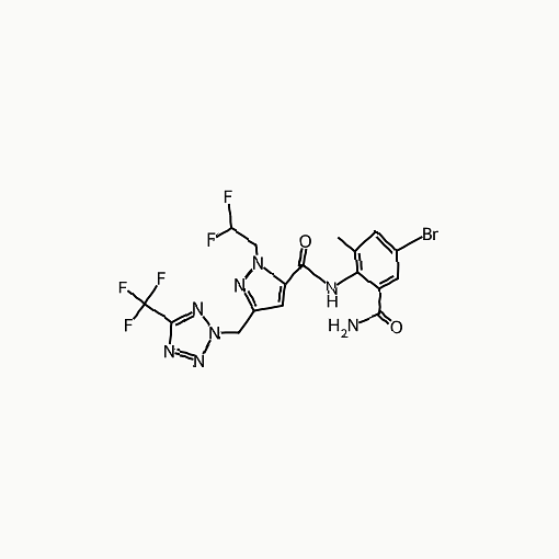 Cc1cc(Br)cc(C(N)=O)c1NC(=O)c1cc(Cn2nnc(C(F)(F)F)n2)nn1CC(F)F